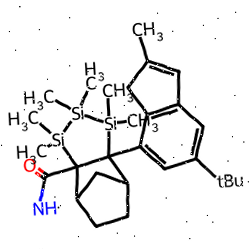 CC1=Cc2cc(C(C)(C)C)cc(C34C5CCC(C5)C3(C([NH])=O)[Si](C)(C)[Si](C)(C)[Si]4(C)C)c2C1